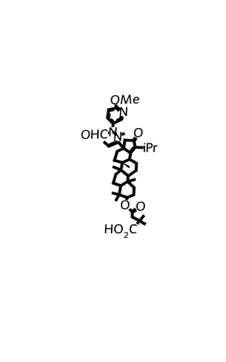 C/C=C(\N(C)N(C=O)c1ccc(OC)nc1)C12CC[C@]3(C)C(CCC4C5(C)CCC(OC(=O)CC(C)(C)C(=O)O)C(C)(C)C5CCC43C)C1=C(C(C)C)C(=O)C2